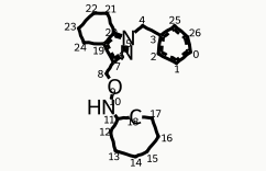 c1ccc(Cn2nc(CONC3CCCCCCC3)c3c2CCCC3)cc1